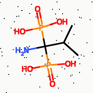 CC(C)C(N)(P(=O)(O)O)P(=O)(O)O